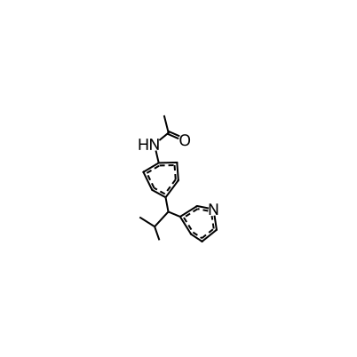 CC(=O)Nc1ccc(C(c2cccnc2)C(C)C)cc1